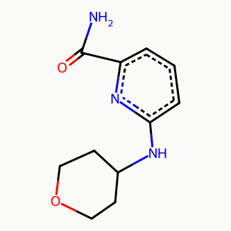 NC(=O)c1cccc(NC2CCOCC2)n1